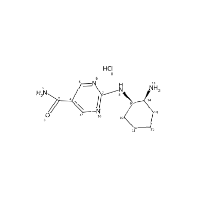 Cl.NC(=O)c1cnc(N[C@@H]2CCCC[C@@H]2N)nc1